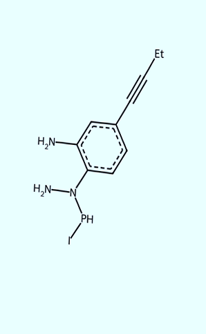 CCC#Cc1ccc(N(N)PI)c(N)c1